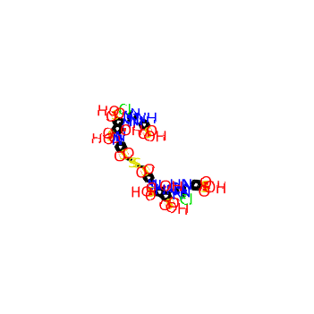 O=S(=O)(O)c1ccc(Nc2nc(Cl)nc(Nc3cc(S(=O)(=O)O)cc4cc(S(=O)(=O)O)c(N=Nc5ccc(S(=O)(=O)CCSSCCS(=O)(=O)c6ccc(/N=N/c7c(S(=O)(=O)O)cc8cc(S(=O)(=O)O)cc(Nc9nc(Cl)nc(Nc%10ccc(S(=O)(=O)O)cc%10)n9)c8c7O)cc6)cc5)c(O)c34)n2)cc1